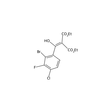 CCOC(=O)C(C(=O)OCC)=C(O)c1ccc(Cl)c(F)c1Br